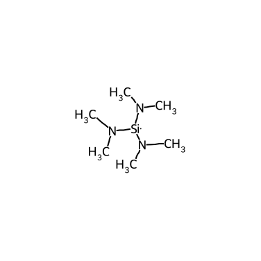 CN(C)[Si](N(C)C)N(C)C